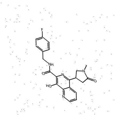 CN1CC(c2nc(C(=O)NCc3ccc(F)cc3)c(O)c3ncccc23)CC1=O